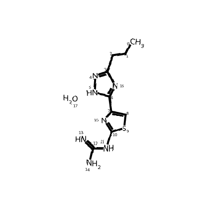 CCCc1n[nH]c(-c2csc(NC(=N)N)n2)n1.O